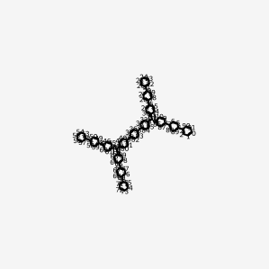 c1ccc(-c2ccc(-c3ccc(N(c4ccc(-c5ccc(-c6ccccc6)cc5)cc4)c4ccc(-c5ccc(-c6ccc(N(c7ccc(-c8ccc(-c9ccccc9)cc8)cc7)c7ccc(-c8ccc(-c9ccccc9)cc8)cc7)cc6)cc5)cc4)cc3)cc2)cc1